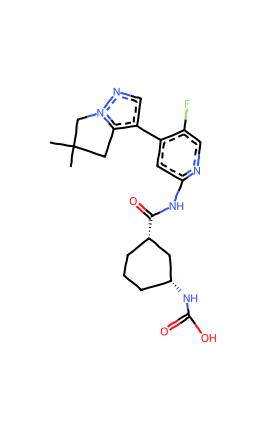 CC1(C)Cc2c(-c3cc(NC(=O)[C@H]4CCC[C@@H](NC(=O)O)C4)ncc3F)cnn2C1